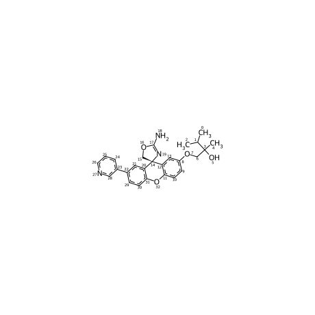 CC(C)C(C)(O)COc1ccc2c(c1)[C@]1(COC(N)=N1)c1cc(-c3cccnc3)ccc1O2